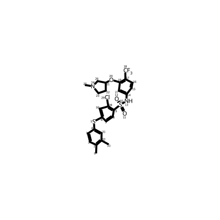 Cc1ccc(Sc2ccc(S(=O)(=O)Nc3ccc(C(F)(F)F)c(OC4CCN(C)C4)c3)c(Cl)c2)cc1C